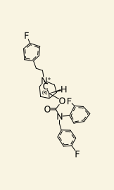 O=C(O[C@H]1C[N+]2(CCc3ccc(F)cc3)CCC1CC2)N(Cc1ccc(F)cc1)c1ccccc1F